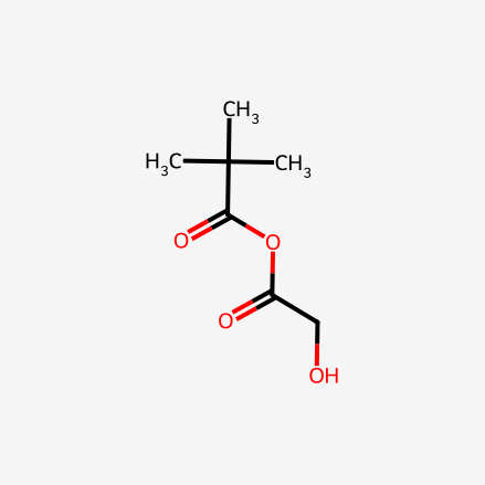 CC(C)(C)C(=O)OC(=O)CO